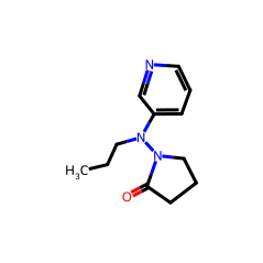 CCCN(c1cccnc1)N1CCCC1=O